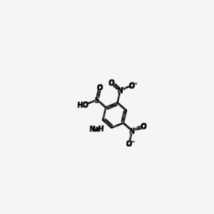 O=[N+]([O-])c1ccc(S(=O)O)c([N+](=O)[O-])c1.[NaH]